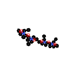 c1ccc(-c2ccc(N(c3cc4oc5cc(N(c6ccc(-c7ccccc7)cc6)c6cccc7c6oc6cc(-c8ccc9c(c8)oc8c(N(c%10cccc(-c%11ccccc%11)c%10)c%10cc%11oc%12cc(N(c%13cccc(-c%14ccccc%14)c%13)c%13cccc%14c%13oc%13ccccc%13%14)c%13ccccc%13c%12c%11c%11ccccc%10%11)cccc89)ccc67)c6ccccc6c5c4c4ccccc34)c3cccc4c3oc3ccccc34)cc2)cc1